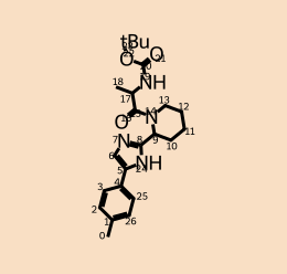 Cc1ccc(-c2cnc(C3CCCCN3C(=O)C(C)NC(=O)OC(C)(C)C)[nH]2)cc1